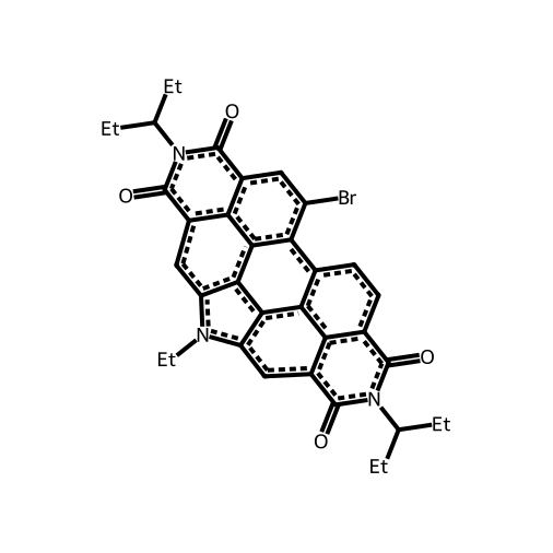 CCC(CC)n1c(=O)c2ccc3c4c(Br)cc5c(=O)n(C(CC)CC)c(=O)c6cc7c(c4c56)c4c3c2c(cc4n7CC)c1=O